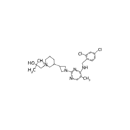 Cc1cnc(N2CC(C3CCCN(CC(C)(C)O)C3)C2)nc1NCc1ccc(Cl)cc1Cl